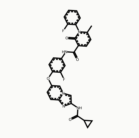 Cc1ccc(C(=O)Nc2ccc(Oc3ccc4nc(NC(=O)C5CC5)cn4c3)c(F)c2)c(=O)n1-c1ccccc1F